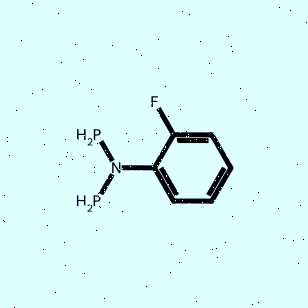 Fc1ccccc1N(P)P